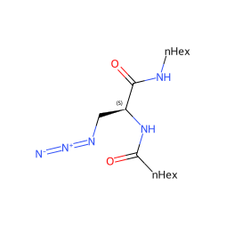 CCCCCCNC(=O)[C@H](CN=[N+]=[N-])NC(=O)CCCCCC